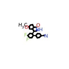 COc1ccc2c(=O)[nH]cc(-c3cc(F)c(F)cc3-c3ccc(C#N)cc3)c2c1